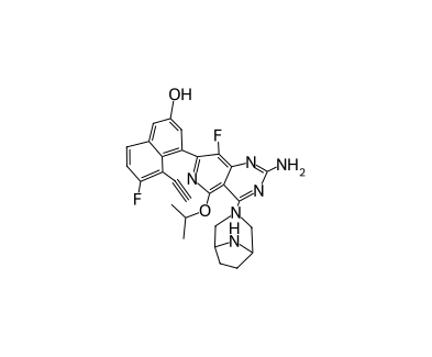 C#Cc1c(F)ccc2cc(O)cc(-c3nc(OC(C)C)c4c(N5CC6CCC(C5)N6)nc(N)nc4c3F)c12